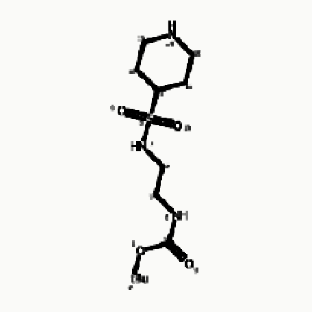 CC(C)(C)OC(=O)NCCNS(=O)(=O)C1CCNCC1